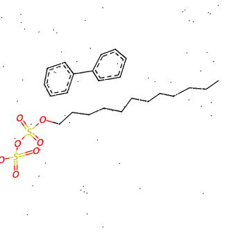 CCCCCCCCCCCCOS(=O)(=O)OS(=O)(=O)O.c1ccc(-c2ccccc2)cc1